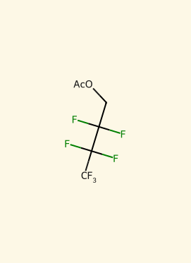 CC(=O)OCC(F)(F)C(F)(F)C(F)(F)F